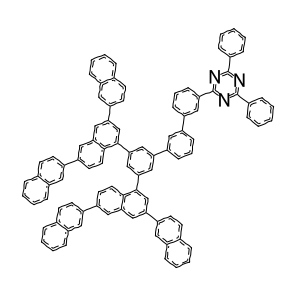 c1ccc(-c2nc(-c3ccccc3)nc(-c3cccc(-c4cccc(-c5cc(-c6cc(-c7ccc8ccccc8c7)cc7cc(-c8ccc9ccccc9c8)ccc67)cc(-c6cc(-c7ccc8ccccc8c7)cc7cc(-c8ccc9ccccc9c8)ccc67)c5)c4)c3)n2)cc1